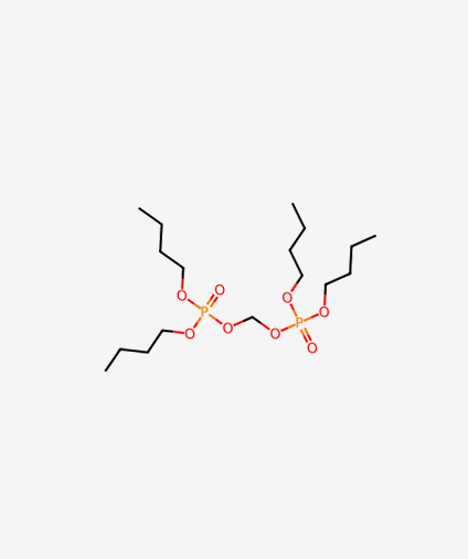 CCCCOP(=O)(OCCCC)OCOP(=O)(OCCCC)OCCCC